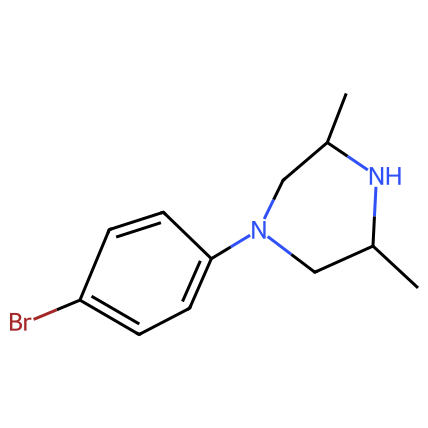 CC1CN(c2ccc(Br)cc2)CC(C)N1